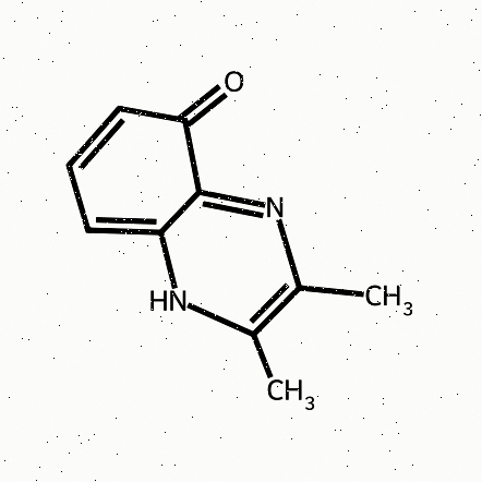 Cc1nc2c(=O)cccc-2[nH]c1C